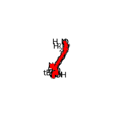 Cc1ncsc1-c1ccc(CNC(=O)[C@@H]2C[C@@H](O)CN2C(=O)[C@@H](NC(=O)C2(F)CC2)C(C)(C)C)c(OCCOCCOCCOCCOCCOCCCc2ccc(CO[C@H](C)[C@@H](N)CCC(N)=O)cc2)c1